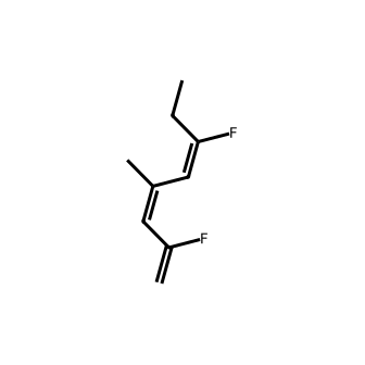 C=C(F)/C=C(C)\C=C(\F)CC